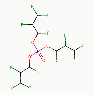 O=P(OC(F)C(F)C(F)F)(OC(F)C(F)C(F)F)OC(F)C(F)C(F)F